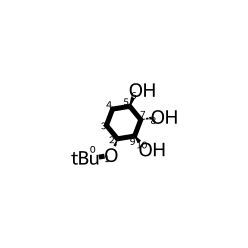 CC(C)(C)O[C@@H]1CC[C@@H](O)[C@H](O)[C@H]1O